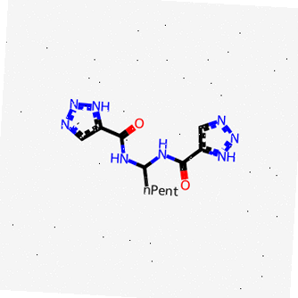 CCCCCC(NC(=O)c1cnn[nH]1)NC(=O)c1cnn[nH]1